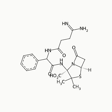 CC1(C)S[C@@H]2CC(=O)N2[C@@]1(NC(=O)C(NC(=O)CCC(=N)N)c1ccccc1)C(=O)O